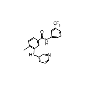 Cc1ccc(C(=O)Nc2cccc(C(F)(F)F)c2)cc1Nc1cccnc1